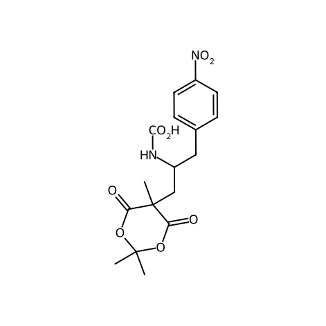 CC1(C)OC(=O)C(C)(CC(Cc2ccc([N+](=O)[O-])cc2)NC(=O)O)C(=O)O1